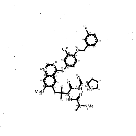 CN[C@@H](C)C(=O)N[C@H](C(=O)NC(=O)[C@@H]1CCCN1)C(C)(C)Cc1cc2c(Nc3ccc(OCc4cccc(F)c4)c(Cl)c3)ncnc2cc1OC